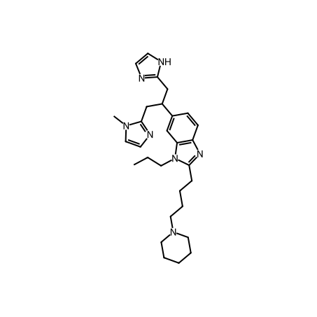 CCCn1c(CCCCN2CCCCC2)nc2ccc(C(Cc3ncc[nH]3)Cc3nccn3C)cc21